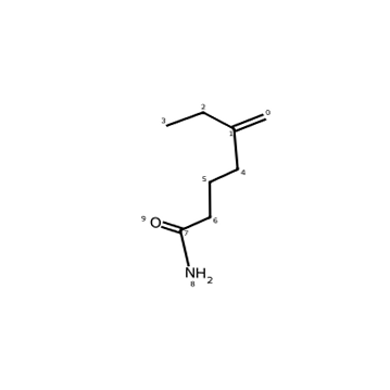 C=C(CC)CCCC(N)=O